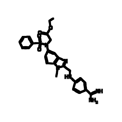 CCOC(=O)CN(c1ccc2c(c1)nc(CNc1ccc(C(=N)N)cc1)n2C)S(=O)(=O)c1ccccc1